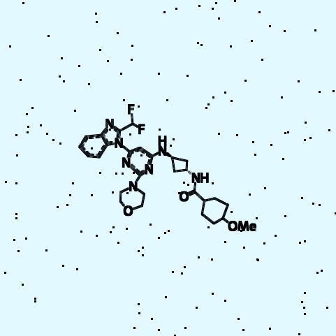 COC1CCC(C(=O)N[C@H]2C[C@H](Nc3cc(-n4c(C(F)F)nc5ccccc54)nc(N4CCOCC4)n3)C2)CC1